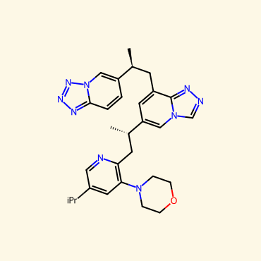 CC(C)c1cnc(C[C@H](C)c2cc(C[C@H](C)c3ccc4nnnn4c3)c3nncn3c2)c(N2CCOCC2)c1